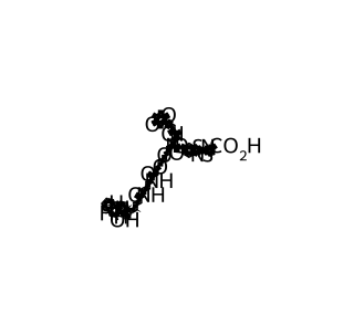 CC1=C(C)C(=O)C(C(C)(C)CC(=O)N(C)CCN(CCOCCOCCC(=O)NCCCNC(=O)CC[C@H](C)[C@@H]2CC[C@@H]3[C@@H]4[C@@H](CC[C@]32C)[C@]2(C)CCCC[C@@H]2C[C@@H]4O)C(=O)Oc2ccc3nc(C4=NC(C(=O)O)CS4)sc3c2)=C(C)C1=O